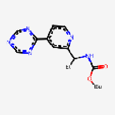 CCC(NC(=O)OC(C)(C)C)c1cc(-c2n[c]ncn2)ccn1